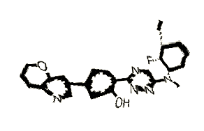 CC[C@@H]1CCC[C@H](N(C)c2cnc(-c3ccc(-c4cnc5c(c4)OCCC5)cc3O)nn2)[C@@H]1F